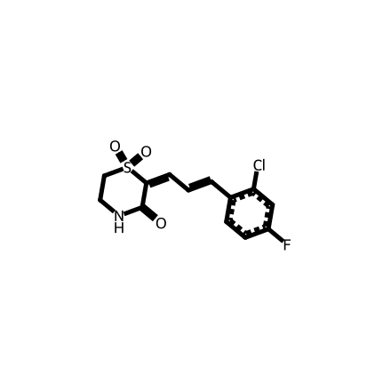 O=C1NCCS(=O)(=O)/C1=C/C=C/c1ccc(F)cc1Cl